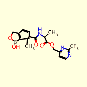 Cc1c(C(=O)N[C@@H](C)C(=O)OCc2ccnc(C(F)(F)F)n2)ccc2c1B(O)OC2